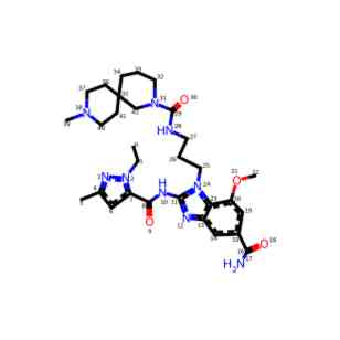 CCn1nc(C)cc1C(=O)Nc1nc2cc(C(N)=O)cc(OC)c2n1CCCNC(=O)N1CCCC2(CCN(C)CC2)C1